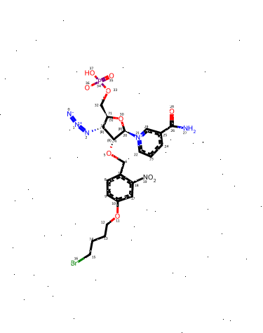 [N-]=[N+]=N[C@H]1[C@@H](OCc2ccc(OCCCCBr)cc2[N+](=O)[O-])[C@H]([n+]2cccc(C(N)=O)c2)O[C@@H]1COP(=O)([O-])O